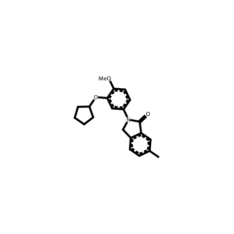 COc1ccc(N2Cc3ccc(C)cc3C2=O)cc1OC1CCCC1